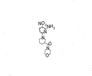 Nc1nc(N2CCCC(C(=O)N3CCOCC3)C2)ccc1[N+](=O)[O-]